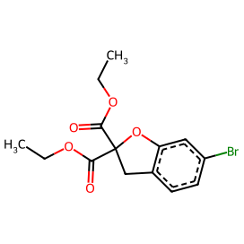 CCOC(=O)C1(C(=O)OCC)Cc2ccc(Br)cc2O1